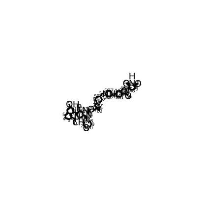 CCc1cccc2cc(O)cc(-c3ncc4c(N5CCCOCC5)nc(OCC5(CN6CCC(CN7CCN(c8ccc9c(c8)CN([C@H]8CCC(=O)NC8=O)C9=O)CC7)CC6)CC5)nc4c3F)c12